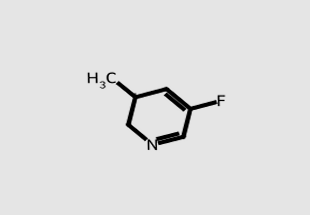 C[C]1C=C(F)C=NC1